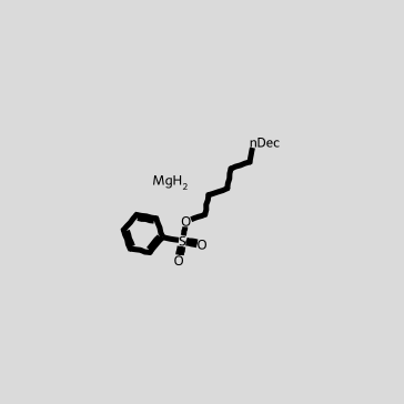 CCCCCCCCCCCCCCCOS(=O)(=O)c1ccccc1.[MgH2]